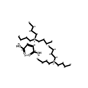 CCCCN(CCCC)CCCC.CCCCN(CCCC)CCCC.O=C(O)/C=C\C(=O)O